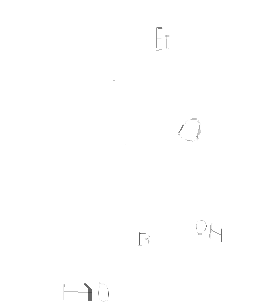 CCC(C)(C)C(=O)C(C)B(O)O